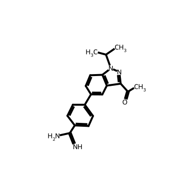 CC(=O)c1nn(C(C)C)c2ccc(-c3ccc(C(=N)N)cc3)cc12